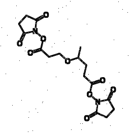 CC(CCC(=O)ON1C(=O)CCC1=O)OCCC(=O)ON1C(=O)CCC1=O